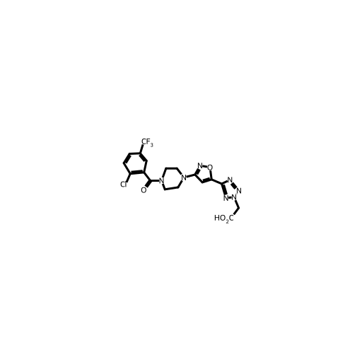 O=C(O)Cn1nnc(-c2cc(N3CCN(C(=O)c4cc(C(F)(F)F)ccc4Cl)CC3)no2)n1